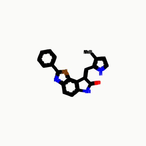 COc1cc[nH]c1C=C1C(=O)Nc2ccc3nc(-c4ccccc4)sc3c21